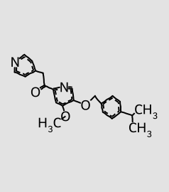 COc1cc(C(=O)Cc2ccncc2)ncc1OCc1ccc(C(C)C)cc1